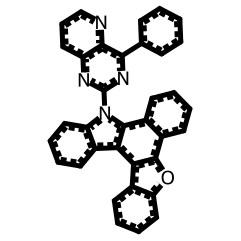 c1ccc(-c2nc(-n3c4ccccc4c4c5c6ccccc6oc5c5ccccc5c43)nc3cccnc23)cc1